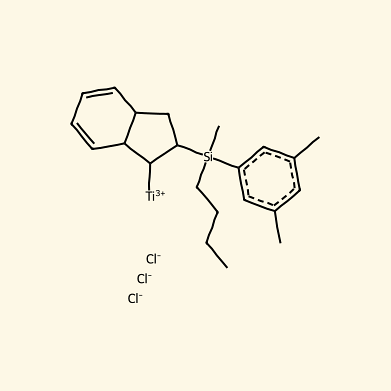 CCCC[Si](C)(c1cc(C)cc(C)c1)C1CC2C=CC=CC2[CH]1[Ti+3].[Cl-].[Cl-].[Cl-]